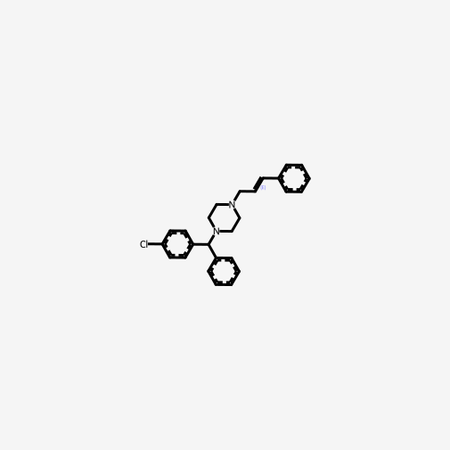 Clc1ccc(C(c2ccccc2)N2CCN(C/C=C/c3ccccc3)CC2)cc1